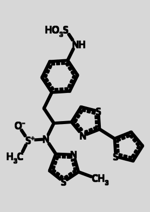 Cc1nc(N(C(Cc2ccc(NS(=O)(=O)O)cc2)c2csc(-c3cccs3)n2)[S+](C)[O-])cs1